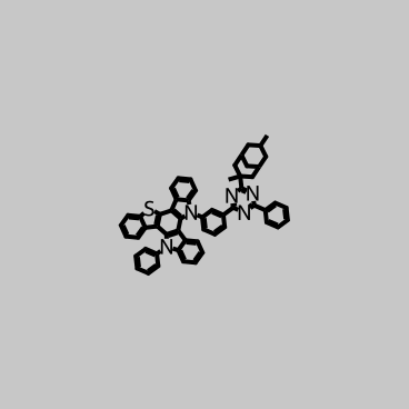 CC1CC2CC(C1)CC(C)(c1nc(-c3ccccc3)nc(-c3cccc(-n4c5ccccc5c5c6sc7ccccc7c6c6c(c7ccccc7n6-c6ccccc6)c54)c3)n1)C2